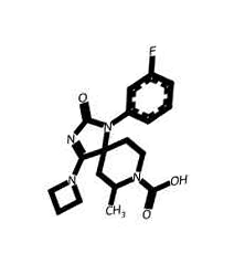 CC1CC2(CCN1C(=O)O)C(N1CCC1)=NC(=O)N2c1cccc(F)c1